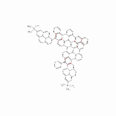 CC(C)(C)C1=CC2=CC=C3C(N(c4ccccc4)c4ccc5c(c4)N(c4c(-c6ccccc6)cccc4-c4ccccc4)c4cc(-c6ccccc6)cc6c4B5c4ccc(N(C5=CC=C7C=CC8=CC(C(C)(C)C)=CC9=CC=C5C7C98)c5ccccc5)cc4N6c4c(-c5ccccc5)cccc4-c4ccccc4)=CC=C4C=CC(=C1)C2C43